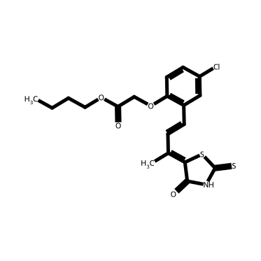 CCCCOC(=O)COc1ccc(Cl)cc1C=CC(C)=C1SC(=S)NC1=O